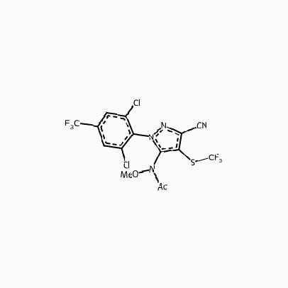 CON(C(C)=O)c1c(SC(F)(F)F)c(C#N)nn1-c1c(Cl)cc(C(F)(F)F)cc1Cl